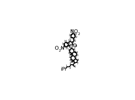 CC(C)CCCC(C)C1CCC2C3CC=C4CC(OC(=O)C(Cc5ccc([N+](=O)[O-])cc5)Cc5ccc([N+](=O)[O-])cc5)CCC4(C)C3CCC12C